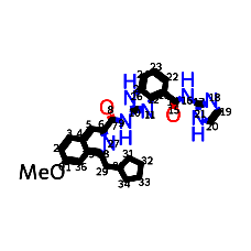 COc1ccc2cc(C(=O)Nc3nc4c(C(=O)Nc5ncc[nH]5)cccc4[nH]3)nc(CC3CCCC3)c2c1